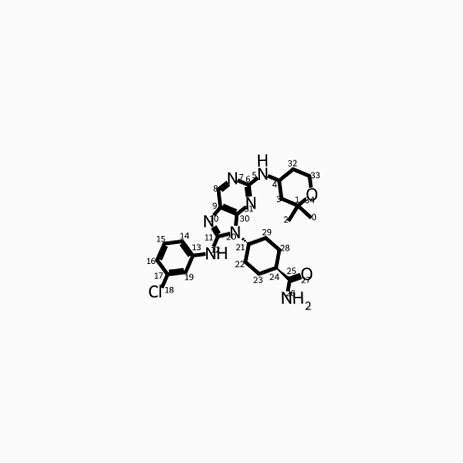 CC1(C)CC(Nc2ncc3nc(Nc4cccc(Cl)c4)n([C@H]4CC[C@H](C(N)=O)CC4)c3n2)CCO1